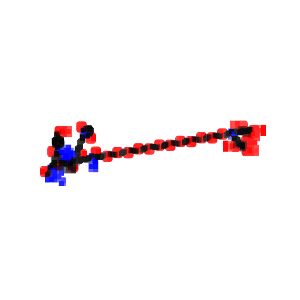 CC(C)[C@H](NC(=O)[C@H](CCCCNC(=O)CCOCCOCCOCCOCCOCCOCCOCCOCCOCCOCCOCCOCCN(CC[C@@H](O)[C@@H](O)CO)CC[C@@H](O)[C@@H](O)CO)NC(=O)CCCCCN1C(=O)C=CC1=O)C(=O)N[C@@H](CCCNC(N)=O)C(=O)Nc1ccc(CO)cc1